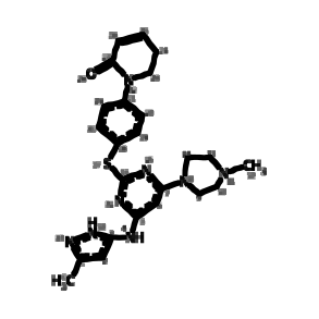 Cc1cc(Nc2cc(N3CCN(C)CC3)nc(Sc3ccc(N4CCC=CC4=O)cc3)n2)[nH]n1